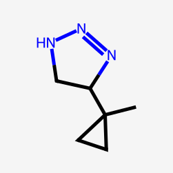 CC1(C2CNN=N2)CC1